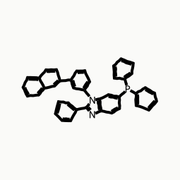 c1ccc(-c2nc3ccc(P(c4ccccc4)c4ccccc4)cc3n2-c2cccc(-c3ccc4ccccc4c3)c2)cc1